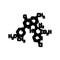 Cc1cc([C@@H](C)Nc2ccc(Cl)nc2C(=O)O)c2nc(N3CCC(C)(C)CC3)cc(=O)n2c1